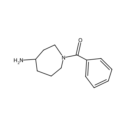 NC1CCCN(C(=O)c2ccccc2)CC1